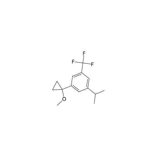 COC1(c2cc(C(C)C)cc(C(F)(F)F)c2)CC1